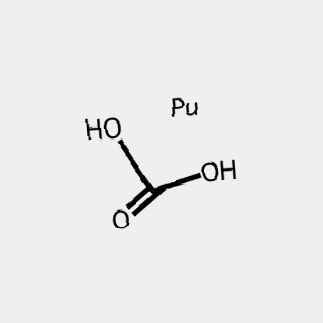 O=C(O)O.[Pu]